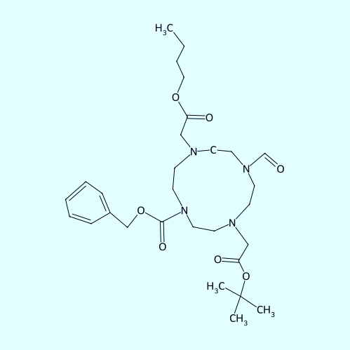 CCCCOC(=O)CN1CCN(C=O)CCN(CC(=O)OC(C)(C)C)CCN(C(=O)OCc2ccccc2)CC1